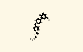 CCOC(=O)N1CCC(CN2CCC(c3cc(OC)cc(F)c3F)CC2)CC1